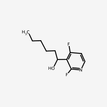 CCCCCC(O)c1c(F)ccnc1F